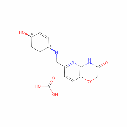 O=C(O)O.O=C1COc2ccc(CN[C@@H]3C=C[C@H](O)CC3)nc2N1